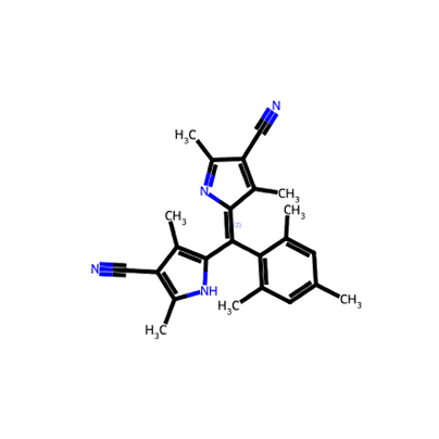 CC1=N/C(=C(\c2[nH]c(C)c(C#N)c2C)c2c(C)cc(C)cc2C)C(C)=C1C#N